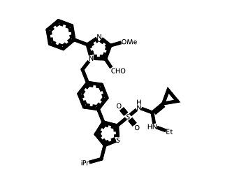 CCNC(NS(=O)(=O)c1sc(CC(C)C)cc1-c1ccc(Cn2c(-c3ccccc3)nc(OC)c2C=O)cc1)=C1CC1